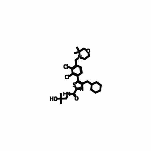 CC(C)(O)CNC(=O)c1nc(CC2CCCCC2)c(-c2ccc(CN3CCOCC3(C)C)c(Cl)c2Cl)s1